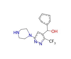 OC(c1ccccc1)c1cc(N2CCNCC2)nnc1C(F)(F)F